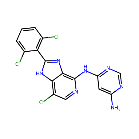 Nc1cc(Nc2ncc(Cl)c3[nH]c(-c4c(Cl)cccc4Cl)nc23)ncn1